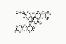 CN1CCN(Cc2cccc(Cn3c(=O)c4cc(OC(CF)CF)ccc4n(C4CCN(C=O)CC4)c3=O)c2)CC1